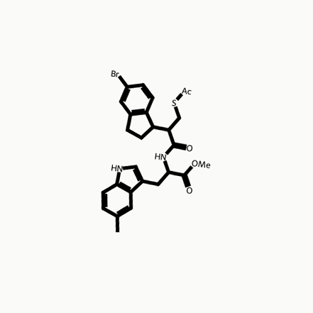 COC(=O)C(Cc1c[nH]c2ccc(C)cc12)NC(=O)C(CSC(C)=O)C1CCc2cc(Br)ccc21